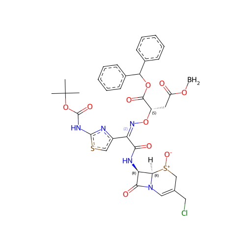 BOC(=O)C[C@H](O/N=C(\C(=O)N[C@@H]1C(=O)N2C=C(CCl)C[S+]([O-])[C@H]12)c1csc(NC(=O)OC(C)(C)C)n1)C(=O)OC(c1ccccc1)c1ccccc1